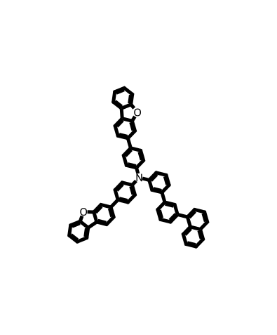 c1cc(-c2cccc(N(c3ccc(-c4ccc5c(c4)oc4ccccc45)cc3)c3ccc(-c4ccc5c(c4)oc4ccccc45)cc3)c2)cc(-c2cccc3ccccc23)c1